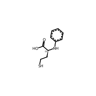 O=C(O)[C@H](CCS)Nc1ccccc1